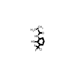 CN(C)C(=O)Nc1cccc(C(F)(F)Cl)c1S